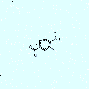 Cc1cc(C(=O)Cl)ccc1NCl